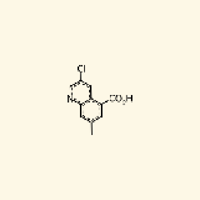 Cc1cc(C(=O)O)c2cc(Cl)cnc2c1